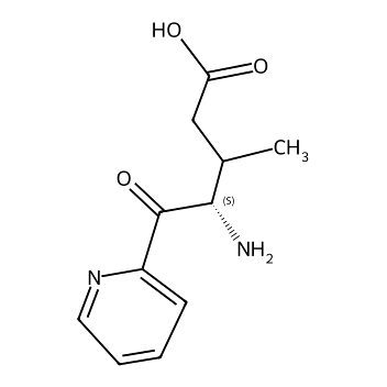 CC(CC(=O)O)[C@H](N)C(=O)c1ccccn1